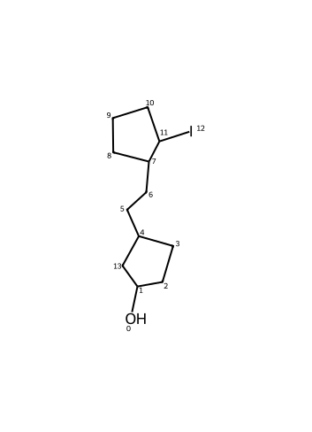 OC1CCC(CCC2CCCC2I)C1